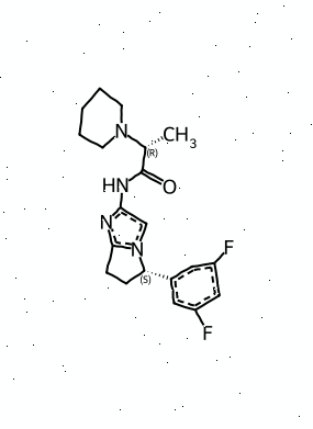 C[C@H](C(=O)Nc1cn2c(n1)CC[C@H]2c1cc(F)cc(F)c1)N1CCCCC1